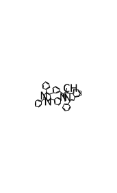 Cc1c(-c2cccc(-c3c(-c4ccccc4)nc(-c4ccccc4)nc3-c3ccccc3)c2)nn2c(-c3ccccc3)cc3ccccc3c12